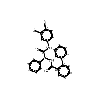 O=C(NN(C(=O)Nc1ccc(Cl)c(Cl)c1)c1ccccc1)c1ccccc1-c1ccccc1